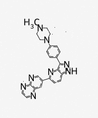 CN1CCN(c2ccc(-c3n[nH]c4ccc(-c5cnc6nccnc6c5)nc34)cc2)CC1